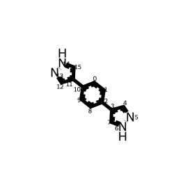 c1cc(-c2cn[nH]c2)ccc1-c1cn[nH]c1